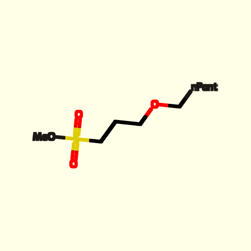 [CH2]CCCCCOCCCS(=O)(=O)OC